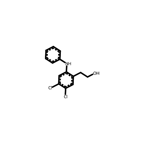 OCCc1cc(Cl)c(Cl)cc1Nc1ccccc1